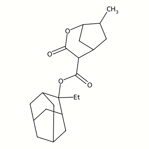 CCC1(OC(=O)C2C(=O)OC3CC2CC3C)C2CC3CC(C2)CC1C3